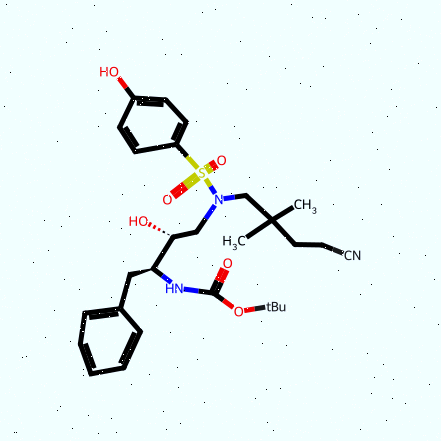 CC(C)(CCC#N)CN(C[C@@H](O)[C@H](Cc1ccccc1)NC(=O)OC(C)(C)C)S(=O)(=O)c1ccc(O)cc1